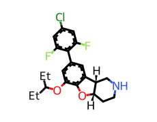 CCC(CC)Oc1cc(-c2c(F)cc(Cl)cc2F)cc2c1O[C@H]1CCNC[C@@H]21